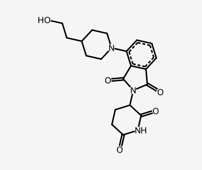 O=C1CCC(N2C(=O)c3cccc(N4CCC(CCO)CC4)c3C2=O)C(=O)N1